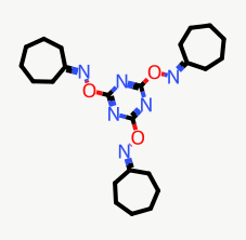 C1CCCC(=NOc2nc(ON=C3CCCCCC3)nc(ON=C3CCCCCC3)n2)CC1